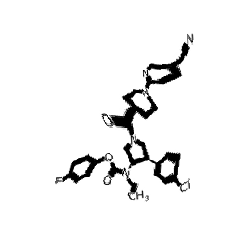 CCN(C(=O)Oc1ccc(F)cc1)[C@@H]1CN(C(=O)C2CCN(c3ccc(C#N)cn3)CC2)C[C@H]1c1ccc(Cl)cc1